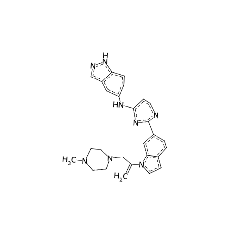 C=C(CN1CCN(C)CC1)n1ccc2ccc(-c3nccc(Nc4ccc5[nH]ncc5c4)n3)cc21